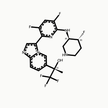 C[C@](O)(c1ccc2ncc(-c3nc(N[C@@H]4CNCC[C@H]4F)c(F)cc3F)n2c1)C(F)(F)F